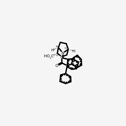 O=C(O)[C@@H]1[C@H]2CC[C@@H](CN1C(=O)N(c1ccccc1)c1ccccc1)N2Cc1ccccc1